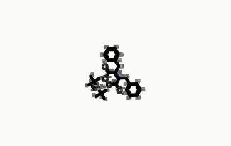 C[C](C)(C)[Sn+2][C](C)(C)C.O=C([O-])/C(Cc1ccccc1)=C(/Cc1ccccc1)C(=O)[O-]